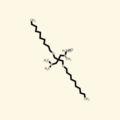 CCCCCCCCCCOCC(COCCCCCCCCCC)(CN(C)C)CN(C)C.Cl.Cl